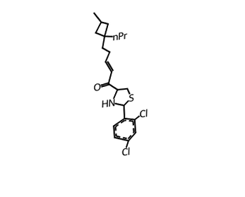 CCCC1(CC/C=C/C(=O)C2CSC(c3ccc(Cl)cc3Cl)N2)CC(C)C1